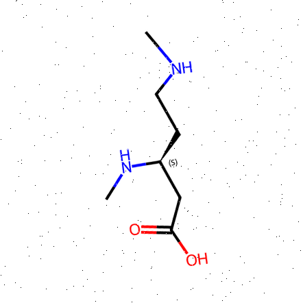 CNCC[C@@H](CC(=O)O)NC